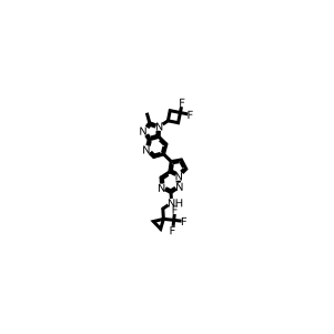 Cc1nc2ncc(-c3ccn4nc(NCC5(C(F)(F)F)CC5)ncc34)cc2n1C1CC(F)(F)C1